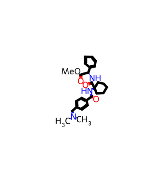 COC(=O)[C@@H](NC(=O)C1(NC(=O)c2ccc(CN(C)C)cc2)CCCCC1)c1ccccc1